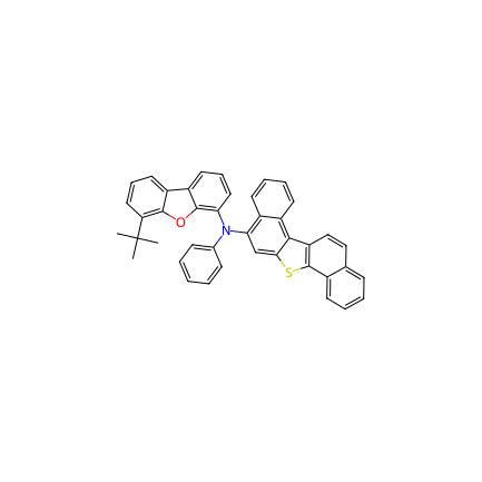 CC(C)(C)c1cccc2c1oc1c(N(c3ccccc3)c3cc4sc5c6ccccc6ccc5c4c4ccccc34)cccc12